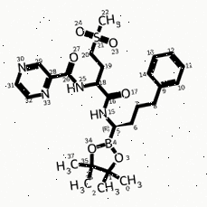 CC1(C)OB([C@H](CCCc2ccccc2)NC(=O)C(CCS(C)(=O)=O)NC(=O)c2cnccn2)OC1(C)C